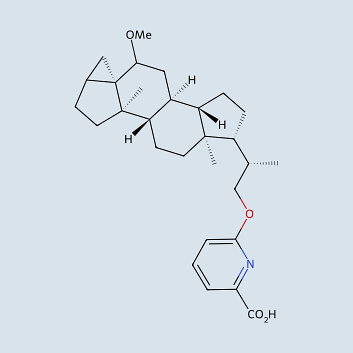 COC1C[C@H]2[C@@H]3CC[C@H]([C@H](C)COc4cccc(C(=O)O)n4)[C@@]3(C)CC[C@@H]2[C@@]2(C)CCC3C[C@]312